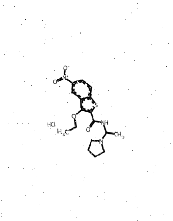 CCOc1c(C(=O)NC(C)N2CCCC2)sc2ccc([N+](=O)[O-])cc12.Cl